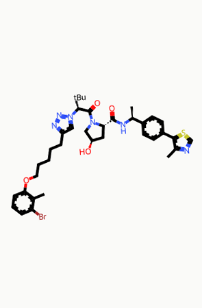 Cc1ncsc1-c1ccc([C@H](C)NC(=O)[C@@H]2C[C@@H](O)CN2C(=O)[C@@H](n2cc(CCCCCOc3cccc(Br)c3C)nn2)C(C)(C)C)cc1